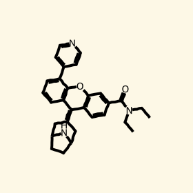 CCN(CC)C(=O)c1ccc2c(c1)Oc1c(cccc1-c1ccncc1)C2=C1CC2CCC(C1)N2